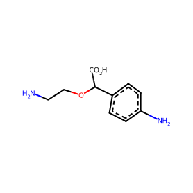 NCCOC(C(=O)O)c1ccc(N)cc1